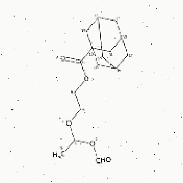 CC(O[C]=O)OCCOC(=O)C12CC3CC(CC(C3)C1)C2